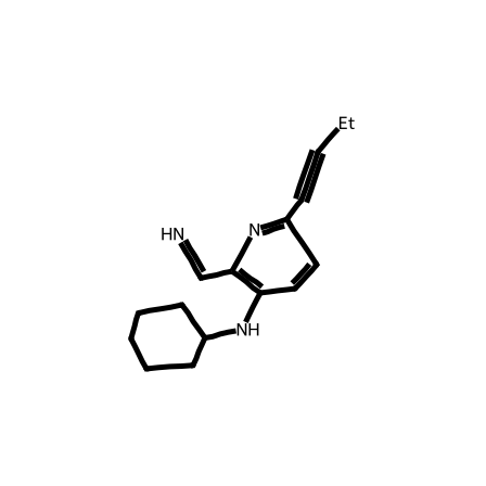 CCC#Cc1ccc(NC2CCCCC2)c(C=N)n1